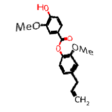 C=CCc1ccc(OC(=O)c2ccc(O)c(OC)c2)c(OC)c1